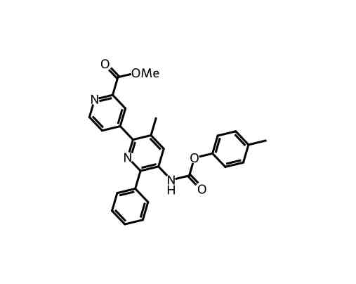 COC(=O)c1cc(-c2nc(-c3ccccc3)c(NC(=O)Oc3ccc(C)cc3)cc2C)ccn1